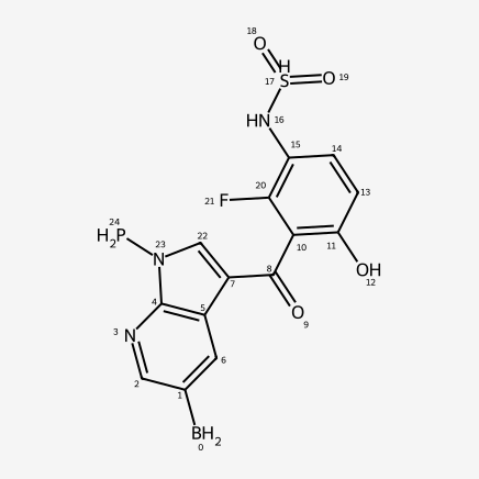 Bc1cnc2c(c1)c(C(=O)c1c(O)ccc(N[SH](=O)=O)c1F)cn2P